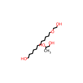 CC(O)CO.OCCCCCCCCCCCCOCCO